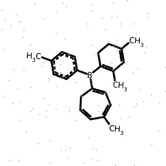 CC1=CC=C(B(C2=C(C)C=C(C)CC2)c2ccc(C)cc2)CC=C1